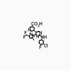 Cc1cc(C(F)F)nn1-c1nc(Nc2ccc(F)c(Cl)c2)ncc1-c1cncc(C(=O)O)c1